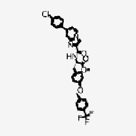 COC(=O)[C@H](Cc1ccc(OCc2ccc(C(F)(F)F)cc2)cc1)NC(=O)c1cn2ccc(-c3ccc(Cl)cc3)cc2n1